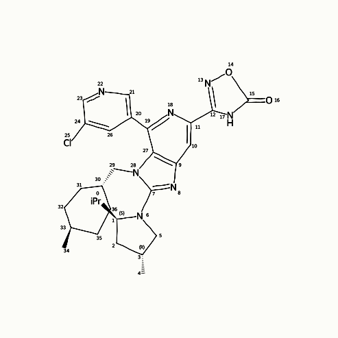 CC(C)[C@@H]1C[C@@H](C)CN1c1nc2cc(-c3noc(=O)[nH]3)nc(-c3cncc(Cl)c3)c2n1C[C@H]1CC[C@H](C)CC1